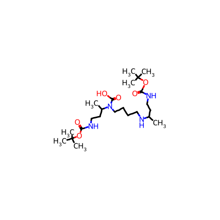 CC(CCNC(=O)OC(C)(C)C)NCCCCN(C(=O)O)C(C)CCNC(=O)OC(C)(C)C